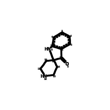 O=C1c2ccccc2NC12CCNCC2